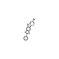 BrC1=CCC2=c3cc4oc(-c5ccccc5)nc4cc3=NC2=C1